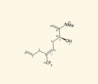 C=CC/C(=C\C[C@H](O)C(=C)NC)C(F)(F)F